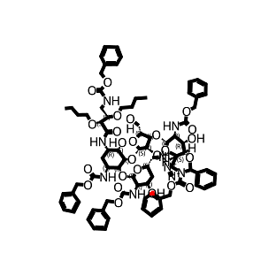 CCCCO[C@H](C(=O)N[C@@H]1C[C@H](NC(=O)OCc2ccccc2)[C@@H](O[C@H]2O[C@H](CN=[N+]=[N-])C[C@@H](O)[C@H]2NC(=O)OCc2ccccc2)[C@H](O[C@@H]2O[C@H](CO)[C@@H](O[C@H]3O[C@H]4CN(C(=O)OCc5ccccc5)C(c5ccccc5)O[C@H]4[C@H](O)[C@H]3NC(=O)OCc3ccccc3)[C@H]2O)[C@H]1O)[C@@H](CNC(=O)OCc1ccccc1)OCCCC